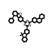 CC1(C)c2ccccc2-c2ccc(-c3nc(-c4ccc5c(ccc6ccccc65)c4)nc(-c4ccc5c(c4)oc4cccc(-c6ccccc6)c45)n3)cc21